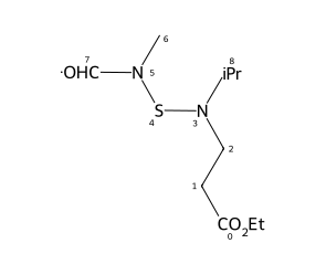 CCOC(=O)CCN(SN(C)[C]=O)C(C)C